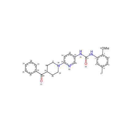 COc1ccc(C)cc1NC(=O)Nc1ccc(N2CCC(C(=O)c3ccccc3)CC2)nc1